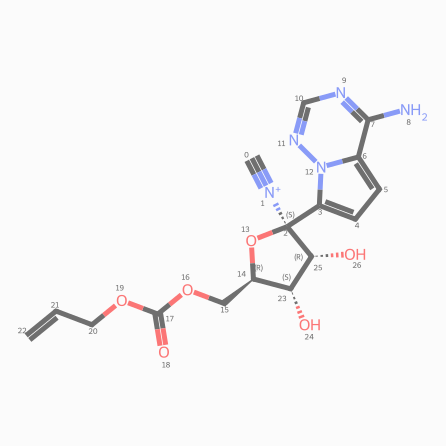 C#[N+][C@@]1(c2ccc3c(N)ncnn23)O[C@H](COC(=O)OCC=C)[C@@H](O)[C@H]1O